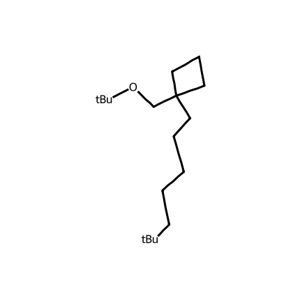 CC(C)(C)CCCCCC1(COC(C)(C)C)CCC1